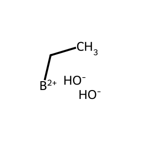 [B+2]CC.[OH-].[OH-]